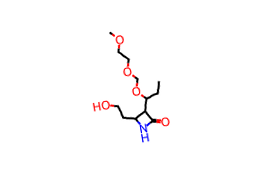 CCC(OCOCCOC)C1C(=O)NC1CCO